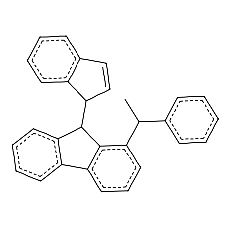 CC(c1ccccc1)c1cccc2c1C(C1C=Cc3ccccc31)c1ccccc1-2